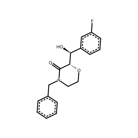 O=C1[C@H]([C@@H](O)c2cccc(F)c2)OCCN1Cc1ccccc1